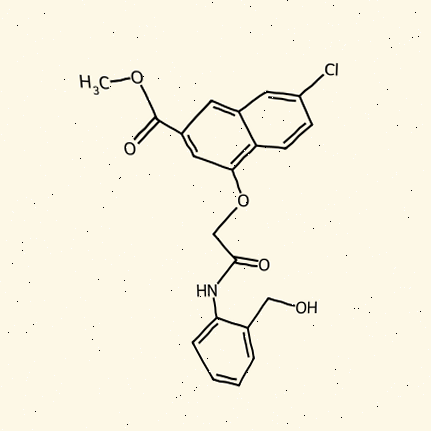 COC(=O)c1cc(OCC(=O)Nc2ccccc2CO)c2ccc(Cl)cc2c1